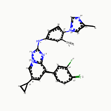 COc1cc(Nc2nc3c(-c4ccc(F)c(F)c4)cc(C4CC4)cn3n2)ccc1-n1cnc(C)c1